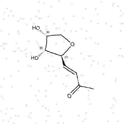 CC(=O)C=C[C@@H]1OC[C@@H](O)[C@H]1O